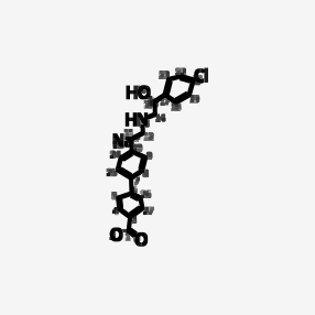 O=C([O-])c1ccc(-c2ccc(CCNC[C@H](O)c3ccc(Cl)cc3)cc2)cc1.[Na+]